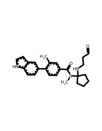 Cc1cc(C(=O)N(C)C2(NCCC=O)CCCC2)ccc1-c1ccc2[nH]ccc2c1